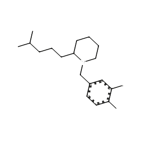 CC(C)CCCC1CCCCN1Cc1ccc(F)c(F)c1